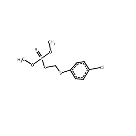 COP(=S)(OC)SCSc1ccc(Cl)cc1